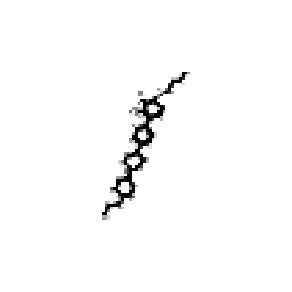 CCCCOc1ccc(-c2ccc(C3=CCC(C4CCC(CCC)CC4)CC3)cc2)c(Cl)c1F